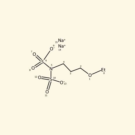 CCOCCCN(S(=O)(=O)[O-])S(=O)(=O)[O-].[Na+].[Na+]